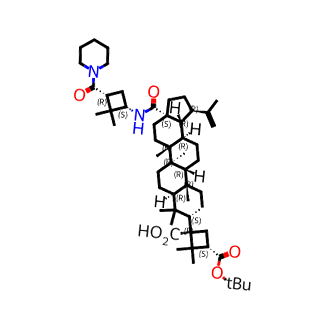 C=C(C)[C@@H]1CC[C@]2(C(=O)N[C@H]3C[C@@H](C(=O)N4CCCCC4)C3(C)C)CC[C@]3(C)[C@H](CC[C@@H]4[C@]5(C)CC[C@H]([C@]6(C(=O)O)C[C@H](C(=O)OC(C)(C)C)C6(C)C)C(C)(C)[C@H]5CC[C@]43C)[C@@H]12